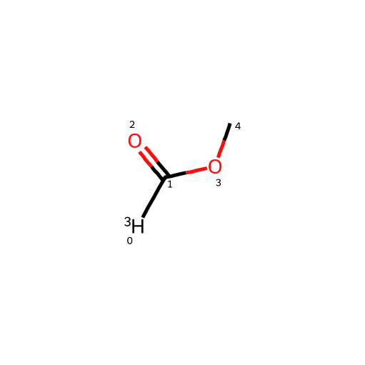 [3H]C(=O)OC